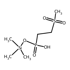 C[Si](C)(C)OP(=O)(O)CCS(C)(=O)=O